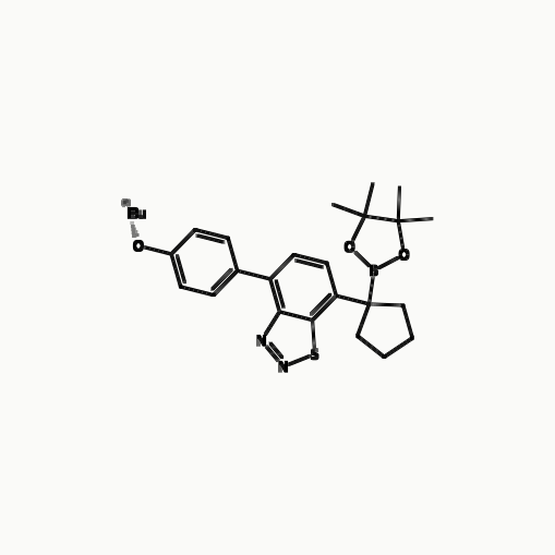 CC[C@@H](C)Oc1ccc(-c2ccc(C3(B4OC(C)(C)C(C)(C)O4)CCCC3)c3snnc23)cc1